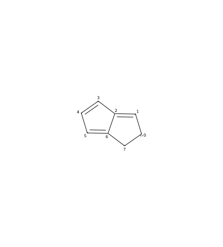 [C]1C=C2C=CC=C2C1